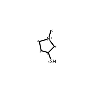 CN1CCC(S)C1